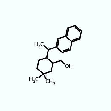 CC(c1ccc2ccccc2c1)C1CCC(C)(C)CC1CO